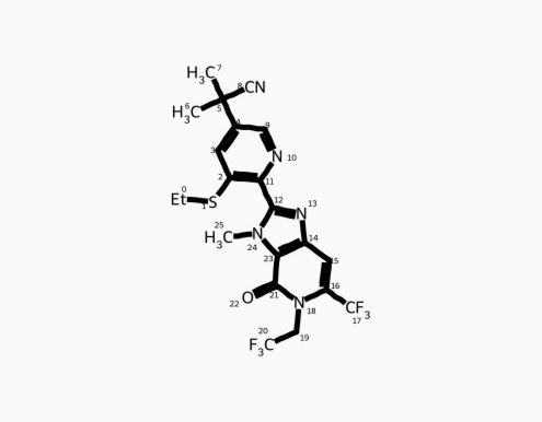 CCSc1cc(C(C)(C)C#N)cnc1-c1nc2cc(C(F)(F)F)n(CC(F)(F)F)c(=O)c2n1C